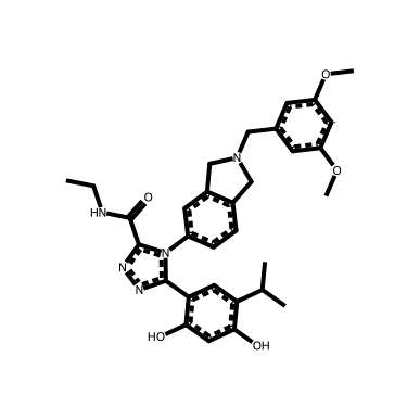 CCNC(=O)c1nnc(-c2cc(C(C)C)c(O)cc2O)n1-c1ccc2c(c1)CN(Cc1cc(OC)[c]c(OC)c1)C2